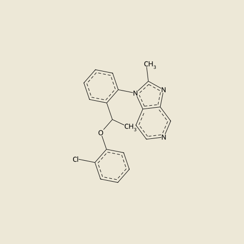 Cc1nc2cnccc2n1-c1ccccc1C(C)Oc1ccccc1Cl